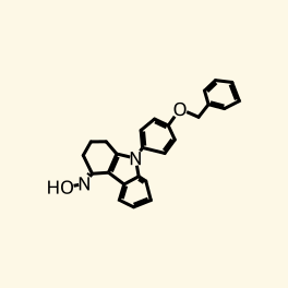 O/N=C1\CCCc2c1c1ccccc1n2-c1ccc(OCc2ccccc2)cc1